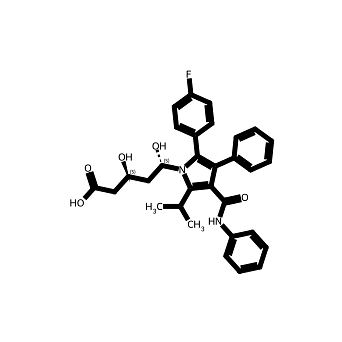 CC(C)c1c(C(=O)Nc2ccccc2)c(-c2ccccc2)c(-c2ccc(F)cc2)n1[C@@H](O)C[C@H](O)CC(=O)O